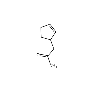 NC(=O)CC1C=CCC1